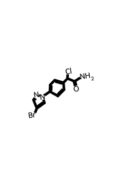 NC(=O)C(Cl)c1ccc(-n2cc(Br)cn2)cc1